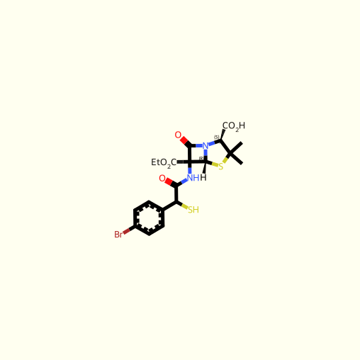 CCOC(=O)C1(NC(=O)C(S)c2ccc(Br)cc2)C(=O)N2[C@@H](C(=O)O)C(C)(C)S[C@@H]21